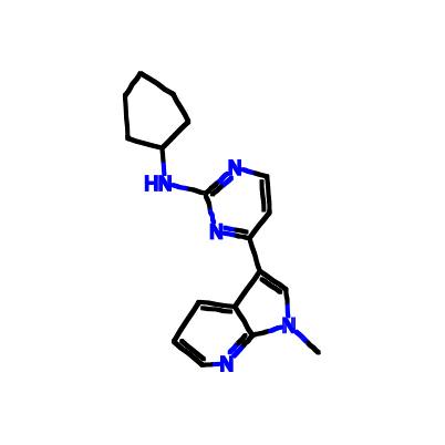 Cn1cc(-c2ccnc(NC3CCCCC3)n2)c2cccnc21